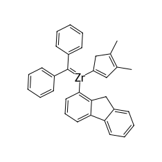 CC1=C(C)C[C]([Zr](=[C](c2ccccc2)c2ccccc2)[c]2cccc3c2Cc2ccccc2-3)=C1